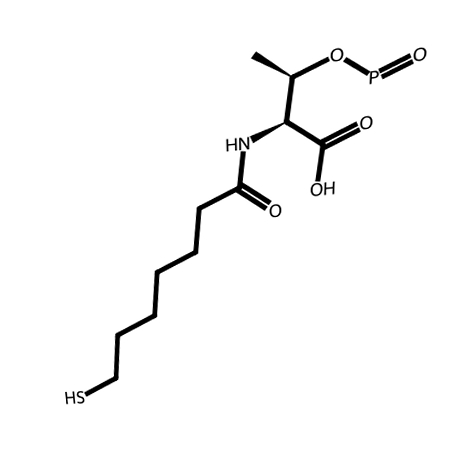 C[C@@H](OP=O)[C@H](NC(=O)CCCCCCS)C(=O)O